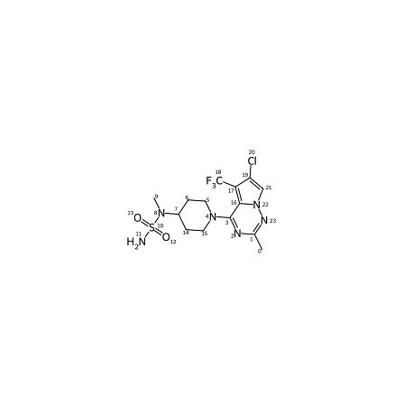 Cc1nc(N2CCC(N(C)S(N)(=O)=O)CC2)c2c(C(F)(F)F)c(Cl)cn2n1